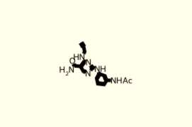 C#CCNc1nc(Nc2cccc(NC(C)=O)c2)ncc1C(N)=O